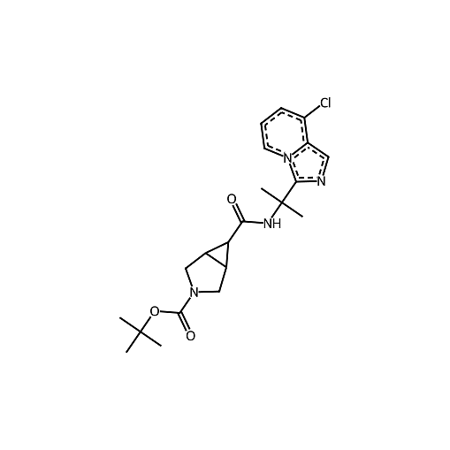 CC(C)(C)OC(=O)N1CC2C(C1)C2C(=O)NC(C)(C)c1ncc2c(Cl)cccn12